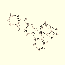 c1ccc2c(c1)Sc1cc3c(cc1S2)C1(c2ccccc2-3)C2CC3CC(C2)CC1C3